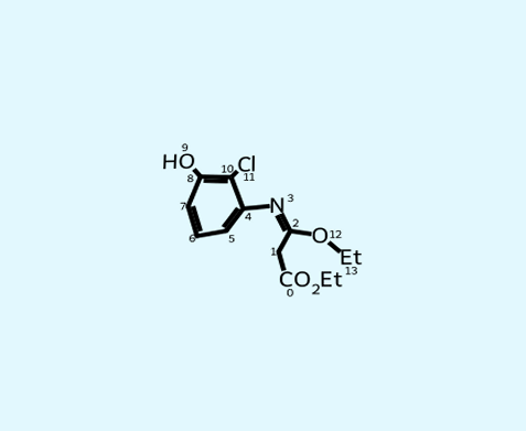 CCOC(=O)C/C(=N\c1cccc(O)c1Cl)OCC